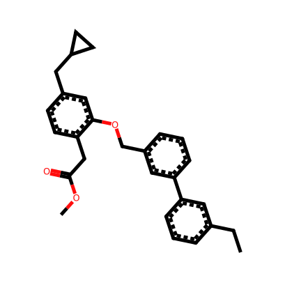 CCc1cccc(-c2cccc(COc3cc(CC4CC4)ccc3CC(=O)OC)c2)c1